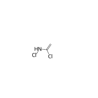 C=C(Cl)NCl